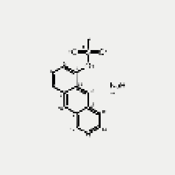 CS(=O)(=O)Oc1cccc2cc3ccccc3cc12.[NaH]